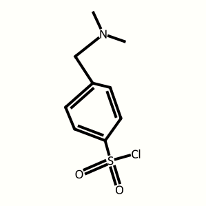 CN(C)Cc1ccc(S(=O)(=O)Cl)cc1